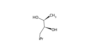 CC(C)C[C@H](O)[C@H](C)O